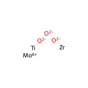 [Mo+6].[O-2].[O-2].[O-2].[Ti].[Zr]